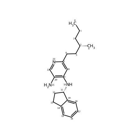 CCC[C@H](C)CCc1cc(N[C@H]2CCc3ccccc32)c(N)cn1